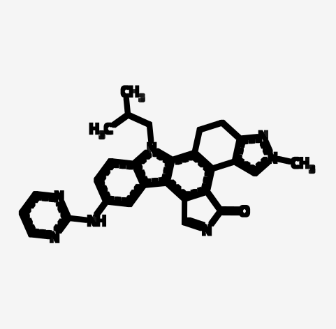 CC(C)Cn1c2ccc(Nc3ncccn3)cc2c2c3c(c4c(c21)CCc1nn(C)cc1-4)C(=O)N=C3